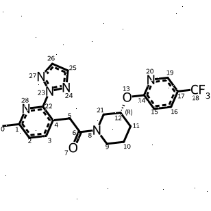 Cc1ccc(CC(=O)N2CCC[C@@H](Oc3ccc(C(F)(F)F)cn3)C2)c(-n2nccn2)n1